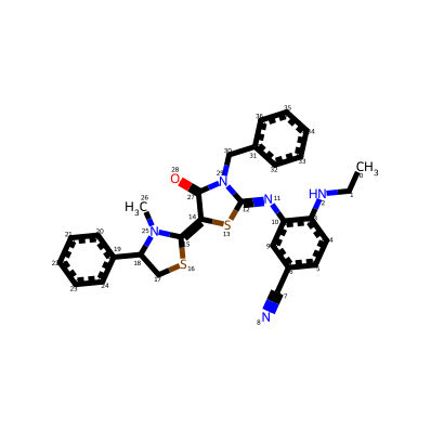 CCNc1ccc(C#N)cc1N=C1SC(=C2SCC(c3ccccc3)N2C)C(=O)N1Cc1ccccc1